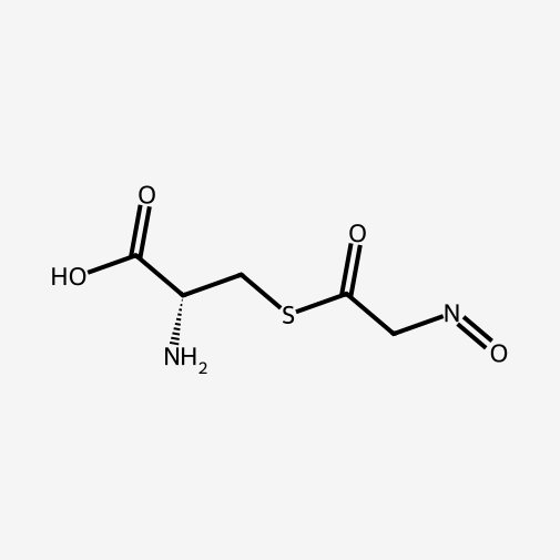 N[C@@H](CSC(=O)CN=O)C(=O)O